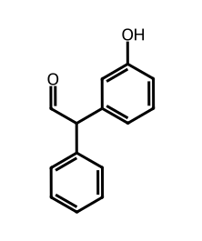 O=CC(c1ccccc1)c1cccc(O)c1